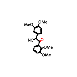 COc1ccc(C(C#N)C(=O)c2cccc(OC)c2OC)cc1OC